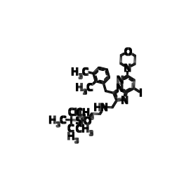 Cc1cccc(Cc2c(CNCCO[Si](C)(C)C(C)(C)C)nc3c(I)cc(N4CCOCC4)nn23)c1C